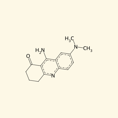 CN(C)c1ccc2nc3c(c(N)c2c1)C(=O)CCC3